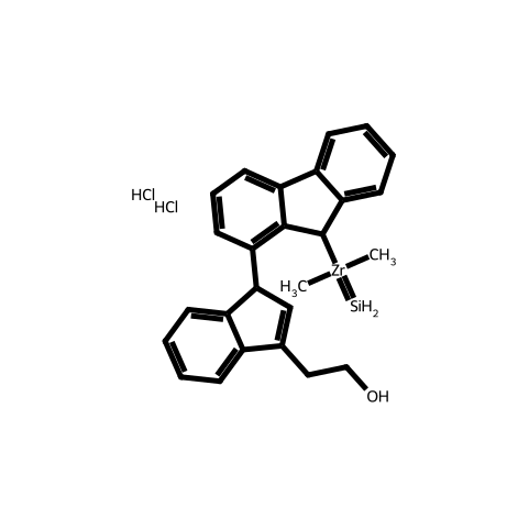 Cl.Cl.[CH3][Zr]([CH3])(=[SiH2])[CH]1c2ccccc2-c2cccc(C3C=C(CCO)c4ccccc43)c21